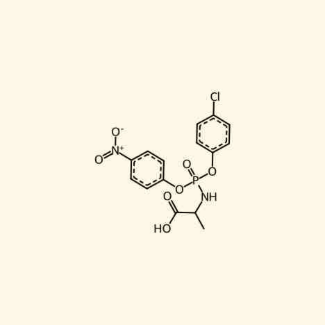 CC(NP(=O)(Oc1ccc(Cl)cc1)Oc1ccc([N+](=O)[O-])cc1)C(=O)O